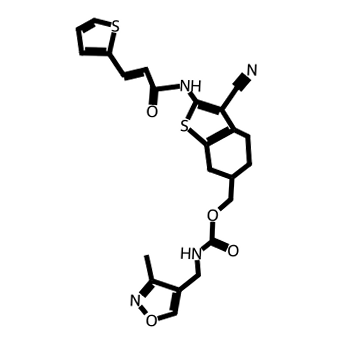 Cc1nocc1CNC(=O)OCC1CCc2c(sc(NC(=O)C=Cc3cccs3)c2C#N)C1